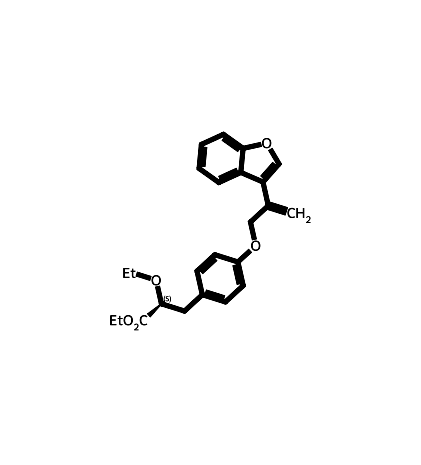 C=C(COc1ccc(C[C@H](OCC)C(=O)OCC)cc1)c1coc2ccccc12